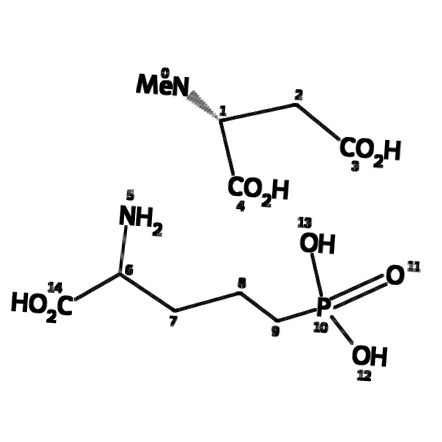 CN[C@H](CC(=O)O)C(=O)O.NC(CCCP(=O)(O)O)C(=O)O